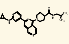 CC(C)CNC(=O)C1CCN(c2nc(-c3ccnc(NC4CC4)c3)cc3cnccc23)CC1